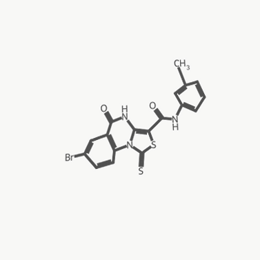 Cc1cccc(NC(=O)c2sc(=S)n3c2[nH]c(=O)c2cc(Br)ccc23)c1